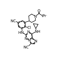 C[C](C)C(=O)N1CCC(c2cc(C#N)cc(Nc3nc(NC4CC4)c4ncc(C#N)n4n3)c2Cl)CC1